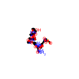 CC[C@H](C)[C@@H](C(CC(=O)N1CCC[C@H]1[C@H](OC)[C@@H](C)C(=O)N[C@H](C)[C@@H](O)c1ccccc1)OC)N(C)C(=O)[C@@H](NC(=O)[C@H](C(C)C)N(C)C(=O)OCc1ccc(NC(=O)[C@H](CCCNC(N)=O)NC(=O)[C@@H](NC(=O)CCCCCN2C(=O)CC(SCCC=O)C2=O)C(C)C)cc1)C(C)C